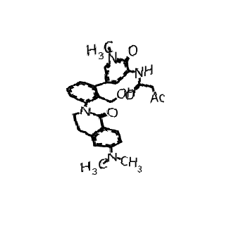 CC(=O)CC(=O)Nc1cc(-c2cccc(N3CCc4cc(N(C)C)ccc4C3=O)c2CO)cn(C)c1=O